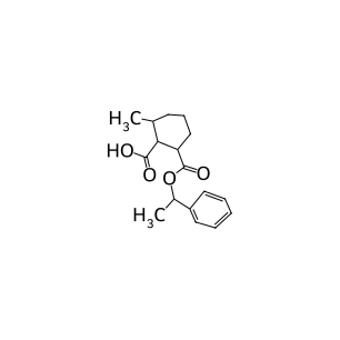 CC(OC(=O)C1CCCC(C)C1C(=O)O)c1ccccc1